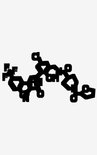 CN(Cc1cc(Cl)cc(-c2cc(-c3cc(C(F)(F)F)ccc3Cl)c(C#N)c(=O)[nH]2)c1O)C(=O)C1CCN(C(=O)C2CCCO2)CC1